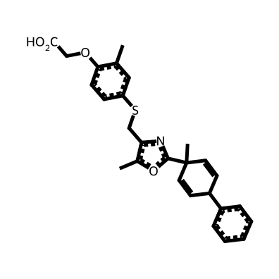 Cc1cc(SCc2nc(C3(C)C=CC(c4ccccc4)C=C3)oc2C)ccc1OCC(=O)O